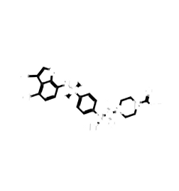 CCCN(c1ccc(S(=O)(=O)Nc2ccc(Cl)c3c(Cl)c[nH]c23)cc1)S(=O)(=O)N1CCN(C(=O)C(F)(F)F)CC1